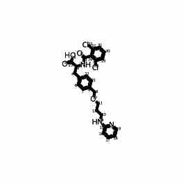 O=C(NC(Cc1ccc(COCCCNc2ccccn2)cc1)C(=O)O)c1c(Cl)cccc1Cl